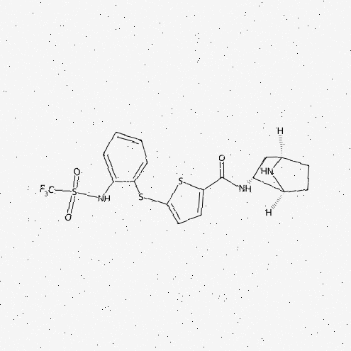 O=C(N[C@@H]1C[C@H]2CC[C@@H]1N2)c1ccc(Sc2ccccc2NS(=O)(=O)C(F)(F)F)s1